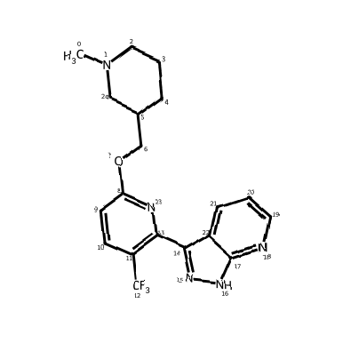 CN1CCCC(COc2ccc(C(F)(F)F)c(-c3n[nH]c4ncccc34)n2)C1